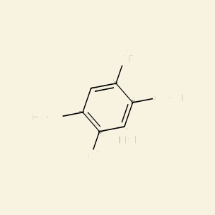 Cl.O=C(O)c1cc(C(F)(F)F)c(C(=O)O)cc1C(F)(F)F